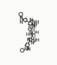 O=C(NC(O)[C@H]1CCN(c2cc(-c3ccc4c(c3)ncn4C3CCCCC3)c3nc[nH]c3c2[N+](=O)[O-])C1)c1cnc(-c2ccc3c(c2)ncn3C2CCCCC2)c2nc[nH]c12